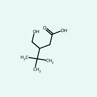 CC(C)(C)C(CO)CC(=O)O